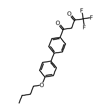 CCCCOc1ccc(-c2ccc(C(=O)CC(=O)C(F)(F)F)cc2)cc1